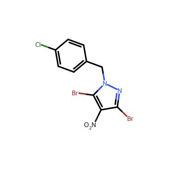 O=[N+]([O-])c1c(Br)nn(Cc2ccc(Cl)cc2)c1Br